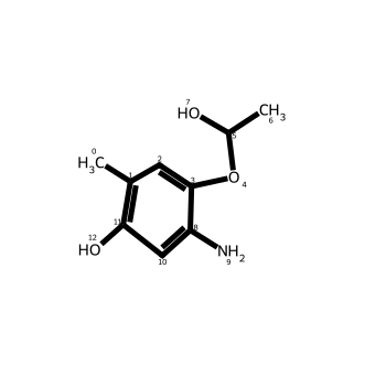 Cc1cc(OC(C)O)c(N)cc1O